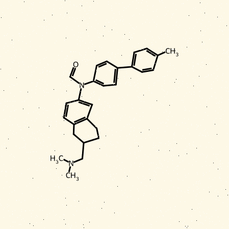 Cc1ccc(-c2ccc(N(C=O)c3ccc4c(c3)CCC(CN(C)C)C4)cc2)cc1